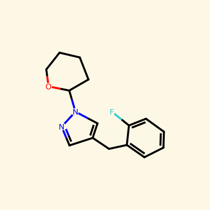 Fc1ccccc1Cc1cnn(C2CCCCO2)c1